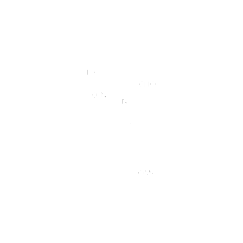 COc1ccc(C2CCN(c3c(C=O)ccc(C(F)(F)F)c3[N+](=O)[O-])CC2)cc1